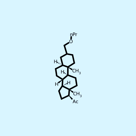 CCCOCC1CC[C@@]2(C)[C@@H](CC[C@@H]3[C@@H]2CC[C@]2(C)[C@@H](C(C)=O)CC[C@@H]32)C1